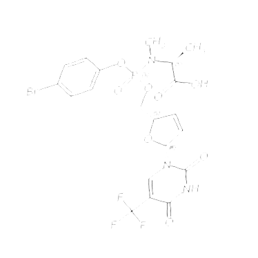 C[C@@H](C(=O)O)N(C)[P@](=O)(OC[C@@H]1C=C[C@H](n2cc(C(F)(F)F)c(=O)[nH]c2=O)O1)Oc1ccc(Br)cc1